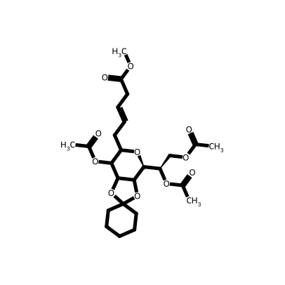 COC(=O)C/C=C/CC1O[C@@H]([C@@H](COC(C)=O)OC(C)=O)C2OC3(CCCCC3)OC2C1OC(C)=O